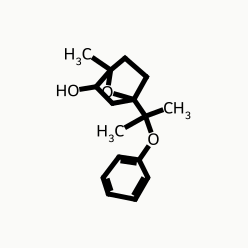 CC12CCC(C(C)(C)Oc3ccccc3)(CC1O)O2